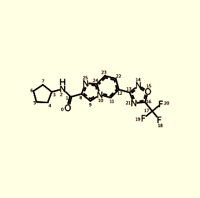 O=C(NC1CCCC1)c1cn2cc(-c3noc(C(F)(F)F)n3)ccc2n1